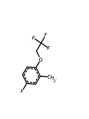 [CH2]c1cc(F)ccc1OCC(F)(F)F